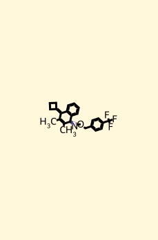 CC1=C(C)/C(=N/OCc2ccc(C(F)(F)F)cc2)c2ccccc2C1=C1CCC1